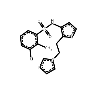 Cc1c(Cl)cccc1S(=O)(=O)Nc1ccsc1CCn1ccnc1